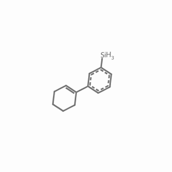 [SiH3]c1cccc(C2=CCCCC2)c1